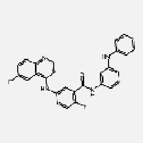 O=C(Nc1cccc(Nc2ccccc2)c1)c1cc(Nc2ccnc3ccc(F)cc23)ccc1F